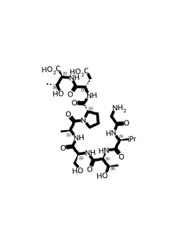 CC(C)[C@H](NC(=O)CN)C(=O)N[C@H](C(=O)N[C@@H](CO)C(=O)N[C@@H](C)C(=O)N1CCC[C@H]1C(=O)N[C@@H](CC(=O)O)C(=O)N[C@H](C(=O)O)[C@@H](C)O)[C@@H](C)O